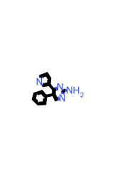 Nc1ncc(-c2ccccc2)c(-c2cccnc2)n1